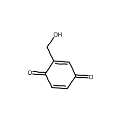 O=C1C=CC(=O)C(CO)=C1